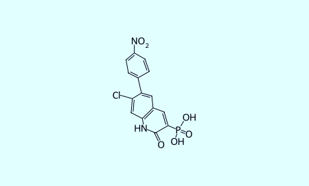 O=c1[nH]c2cc(Cl)c(-c3ccc([N+](=O)[O-])cc3)cc2cc1P(=O)(O)O